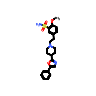 COc1ccc(CCN2CCC(c3ncc(-c4ccccc4)o3)CC2)cc1S(N)(=O)=O